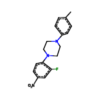 Cc1ccc(N2CCN(c3ccc([N+](=O)[O-])cc3F)CC2)cc1